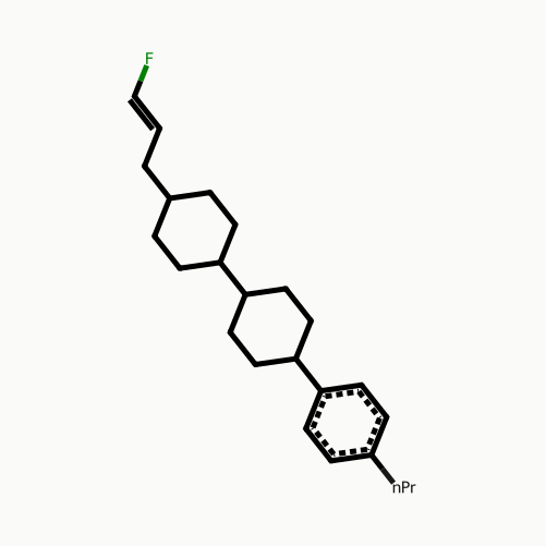 CCCc1ccc(C2CCC(C3CCC(C/C=C/F)CC3)CC2)cc1